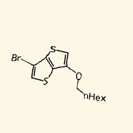 CCCCCCCOc1csc2c(Br)csc12